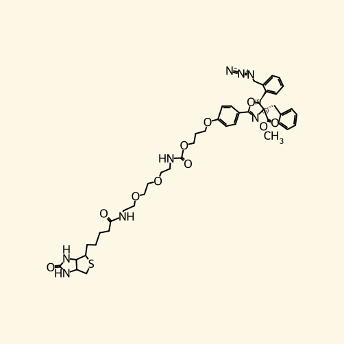 COC(=O)[C@@]1(Cc2ccccc2)N=C(c2ccc(OCCCOC(=O)NCCOCCOCCNC(=O)CCCCC3SCC4NC(=O)NC43)cc2)O[C@H]1c1ccccc1CN=[N+]=[N-]